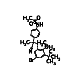 COc1c(CC(C)(C#N)c2ccc(NS(C)(=O)=O)cc2)cc(Br)cc1C(C)(C)C